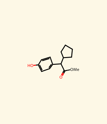 COC(=O)C(c1ccc(O)cc1)C1CCCC1